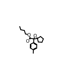 CCCCOC(=O)C1(c2ccc(C)cc2)OC12CCCC2